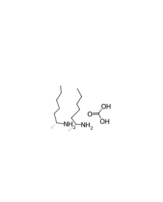 CCCCC[C@@H](C)N.CCCCC[C@@H](C)N.O=C(O)O